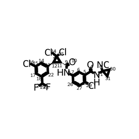 N#CC1(NC(=O)c2cc(NC(=O)[C@@H]3[C@@H](c4cc(Cl)cc(C(F)F)c4)C3(Cl)Cl)ccc2Cl)CC1